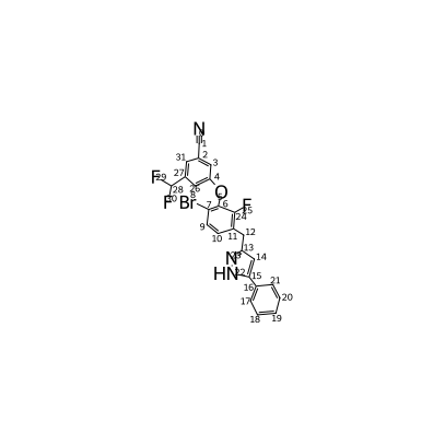 N#Cc1cc(Oc2c(Br)ccc(Cc3cc(-c4ccccc4)[nH]n3)c2F)cc(C(F)F)c1